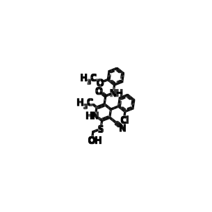 COc1ccccc1NC(=O)C1=C(C)NC(SCO)=C(C#N)C1c1ccccc1Cl